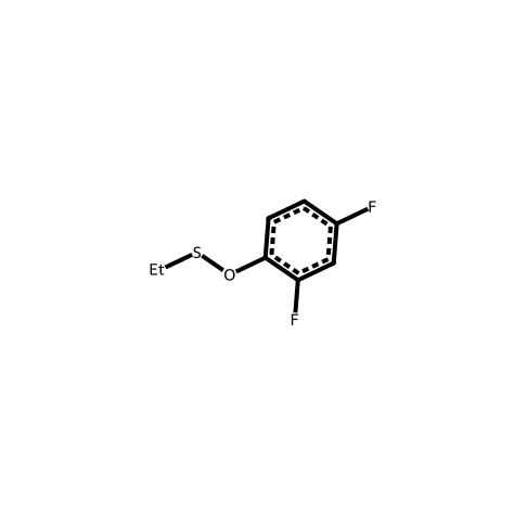 CCSOc1ccc(F)cc1F